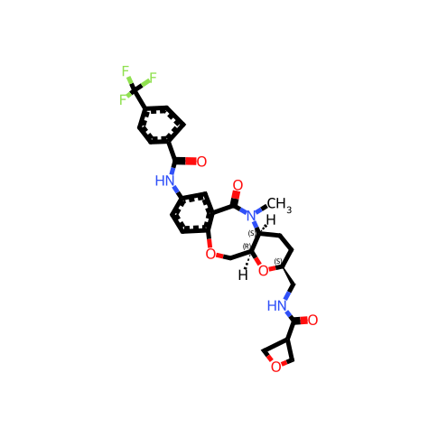 CN1C(=O)c2cc(NC(=O)c3ccc(C(F)(F)F)cc3)ccc2OC[C@@H]2O[C@H](CNC(=O)C3COC3)CC[C@@H]21